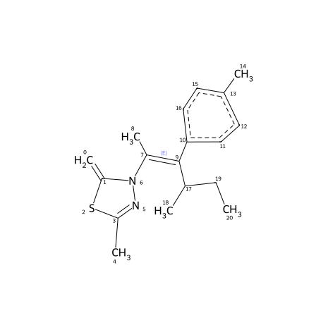 C=C1SC(C)=NN1/C(C)=C(/c1ccc(C)cc1)C(C)CC